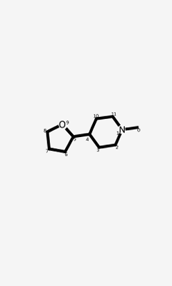 CN1CCC(C2CCCO2)CC1